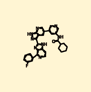 O=C(Nc1cncc(-c2cnc3[nH]nc(-c4nc5c(-c6cccc(F)c6)nccc5[nH]4)c3c2)c1)C1CCCCC1